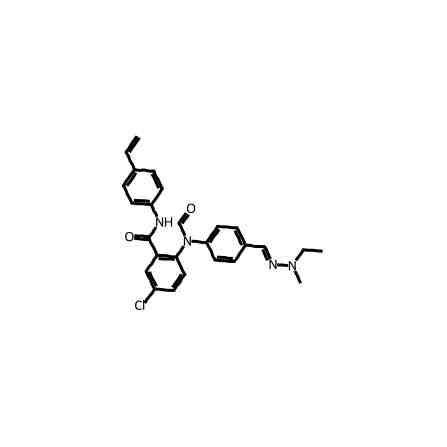 C=Cc1ccc(NC(=O)c2cc(Cl)ccc2N(C=O)c2ccc(C=NN(C)CC)cc2)cc1